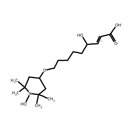 CC1(C)CC(OCCCCCC(O)/C=C/C(=O)O)CC(C)(C)N1O